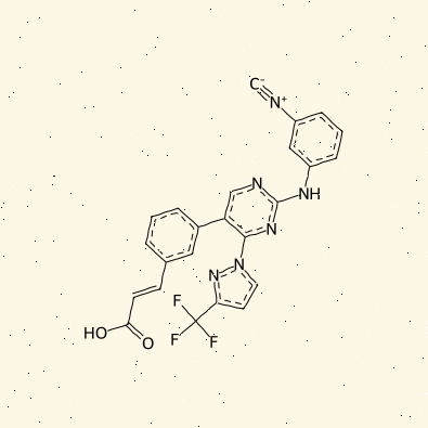 [C-]#[N+]c1cccc(Nc2ncc(-c3cccc(/C=C/C(=O)O)c3)c(-n3ccc(C(F)(F)F)n3)n2)c1